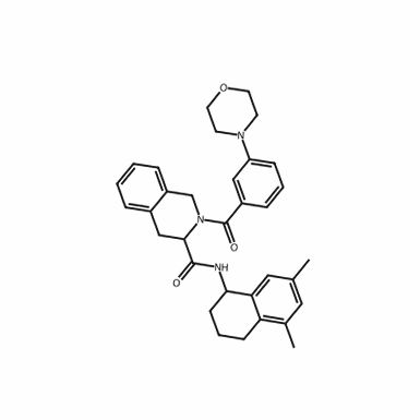 Cc1cc(C)c2c(c1)C(NC(=O)C1Cc3ccccc3CN1C(=O)c1cccc(N3CCOCC3)c1)CCC2